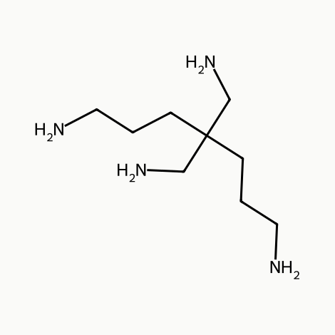 NCCCC(CN)(CN)CCCN